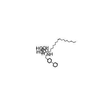 CCCCCCCC/C=C\CCCCCCCC(=O)N[C@@H](CO[PH](O)(O)O)Cc1ccc(-c2ccccc2)cc1